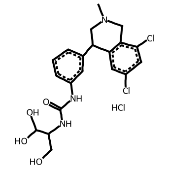 CN1Cc2c(Cl)cc(Cl)cc2C(c2cccc(NC(=O)NC(CO)C(O)O)c2)C1.Cl